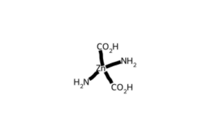 [NH2][Zn]([NH2])([C](=O)O)[C](=O)O